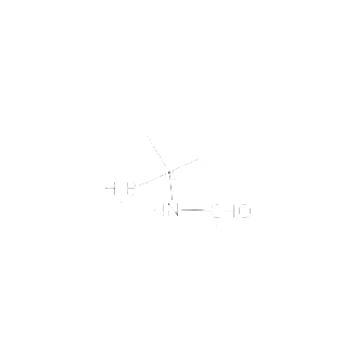 BC(C)(C)NC=O